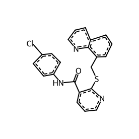 O=C(Nc1ccc(Cl)cc1)c1cccnc1SCc1cccc2cccnc12